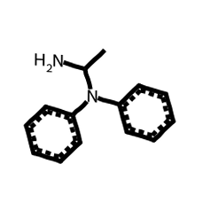 CC(N)N(c1ccccc1)c1ccccc1